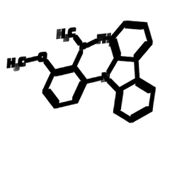 COc1cccc(-n2c3ccccc3c3ccccc32)c1P(C)P